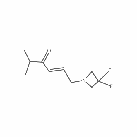 CC(C)C(=O)/C=C/CN1CC(F)(F)C1